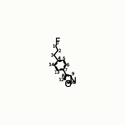 FCCCc1ccc(-c2cnoc2)cc1